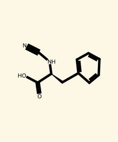 N#CN[C@@H](Cc1ccccc1)C(=O)O